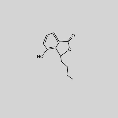 CCCCC1OC(=O)c2cccc(O)c21